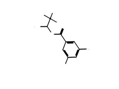 O=C(OC(C(F)(F)F)C(F)(F)S(=O)(=O)O)c1cc(Br)cc(Br)c1